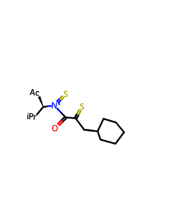 CC(=O)[C@H](C(C)C)[N+](=S)C(=O)C(=S)CC1CCCCC1